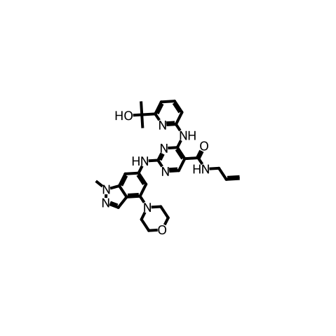 C=CCNC(=O)c1cnc(Nc2cc(N3CCOCC3)c3cnn(C)c3c2)nc1Nc1cccc(C(C)(C)O)n1